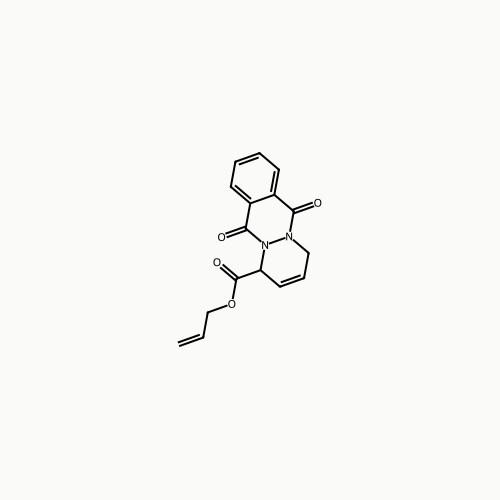 C=CCOC(=O)C1C=CCn2c(=O)c3ccccc3c(=O)n21